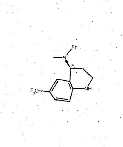 CCN(C)[C@H]1CCNc2ccc(C(F)(F)F)cc21